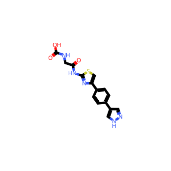 O=C(O)NCC(=O)Nc1nc(-c2ccc(-c3cn[nH]c3)cc2)cs1